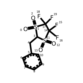 O=S1(=O)C(Cc2ccccc2)S(=O)(=O)C(F)(F)C1(F)F